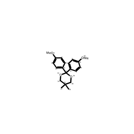 COc1ccc(C2(c3ccc(OC)cc3)OCC(C)(C)CO2)cc1